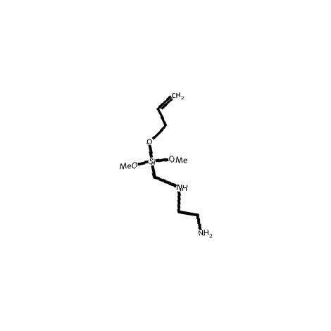 C=CCO[Si](CNCCN)(OC)OC